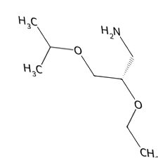 CCO[C@@H](CN)COC(C)C